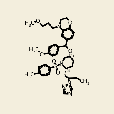 CCC(C[C@H]1CC[C@@H](OC(c2ccc(OC)cc2)c2ccc3c(c2)N(CCCOC)CCO3)CN1S(=O)(=O)c1ccc(C)cc1)n1cncn1